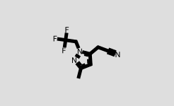 Cc1cc(CC#N)n(CC(F)(F)F)n1